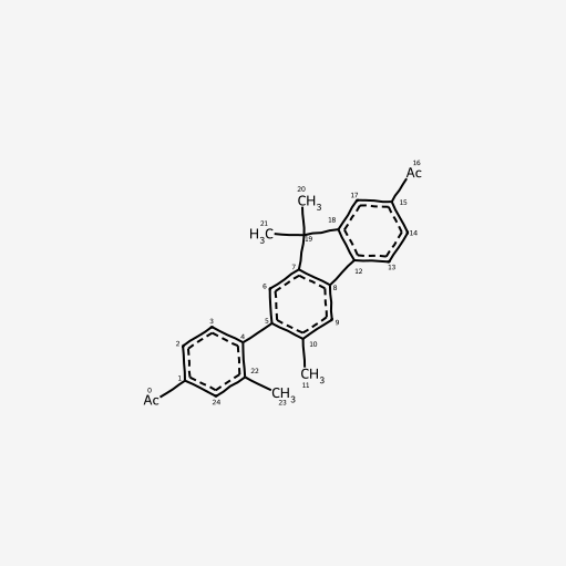 CC(=O)c1ccc(-c2cc3c(cc2C)-c2ccc(C(C)=O)cc2C3(C)C)c(C)c1